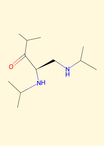 CC(C)NC[C@@H](NC(C)C)C(=O)C(C)C